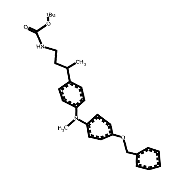 CC(CCNC(=O)OC(C)(C)C)c1ccc(N(C)c2ccc(OCc3ccccc3)cc2)cc1